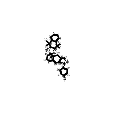 CC1(C)c2ccccc2C(C)(C)C2OC3(CCCC4=Cc5c(cnn5-c5ccc(F)cc5)CC43C)OC21